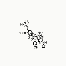 CN1NC=C(SCC2=C(C(=O)[O-])N3C(=O)C(NC(=O)C(c4ccc(O)cc4)N(C(N)=O)c4cnc(NC5CCCC5)nc4O)[C@@H]3SC2)S1.[Na+]